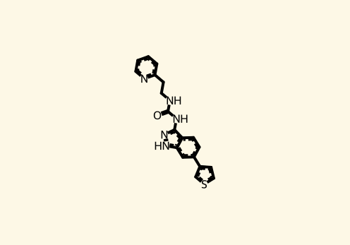 O=C(NCCc1ccccn1)Nc1n[nH]c2cc(-c3ccsc3)ccc12